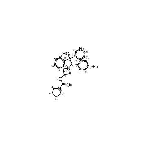 O=C(OC1CN(C(c2ccc(F)cc2)C(O)(c2cccnc2)c2cccnc2)C1)N1CCCC1